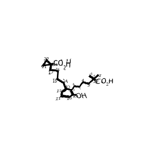 CC(C)(CCCCc1c(O)cccc1CCCCC1(C(=O)O)CC1)C(=O)O